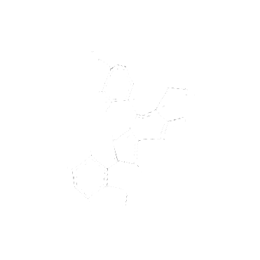 COc1ccccc1C1CN2C(=N1)N=C(C)C(CN)=C2c1ccc(Cl)cc1Cl